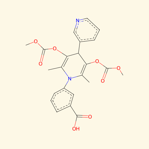 COC(=O)OC1=C(C)N(c2cccc(C(=O)O)c2)C(C)=C(OC(=O)OC)C1c1cccnc1